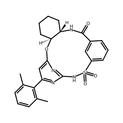 Cc1cccc(C)c1-c1cc2nc(n1)NS(=O)(=O)c1cccc(c1)C(=O)N[C@H]1CCCC[C@@H]1O2